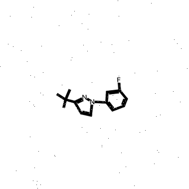 CC(C)(C)c1ccn(-c2cccc(F)c2)n1